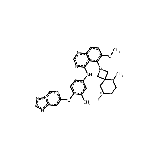 COc1ccc2ncnc(Nc3ccc(Oc4cc5ncnn5cn4)c(C)c3)c2c1N1CC2(C[C@@H](F)CCN2C)C1